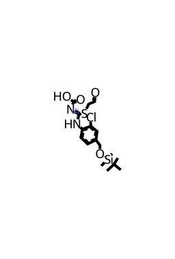 CC(C)(C)[Si](C)(C)OCc1ccc(N/C(=N/C(=O)O)SCC=O)c(Cl)c1